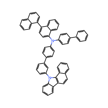 c1ccc(-c2ccc(N(c3ccc(-c4cccc(-n5c6ccccc6c6ccc7ccccc7c65)c4)cc3)c3ccc(-c4cccc5ccccc45)c4ccccc34)cc2)cc1